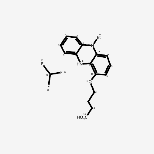 CCN1c2ccccc2Nc2c(OCCCC(=O)O)cccc21.FC(F)F